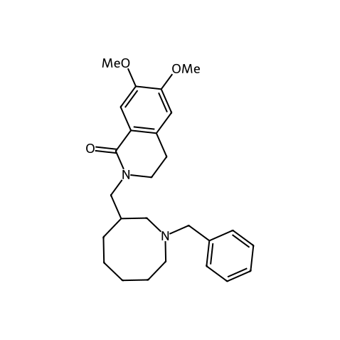 COc1cc2c(cc1OC)C(=O)N(CC1CCCCCN(Cc3ccccc3)C1)CC2